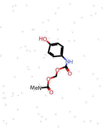 CNC(=O)OCOC(=O)Nc1ccc(O)cc1